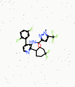 Cn1nc(C(=O)Nc2c(-c3cc(F)ccc3F)ccnc2C2CCC(F)(F)CC2)cc1C(F)(F)F